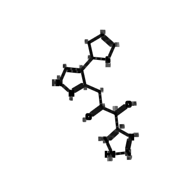 O=C(Cc1n[nH]cc1C1CC=CS1)C(=O)c1nn[nH]n1